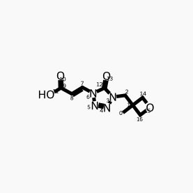 CC1(Cn2nnn(C=CC(=O)O)c2=O)COC1